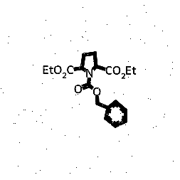 CCOC(=O)C1CCC(C(=O)OCC)N1C(=O)OCc1ccccc1